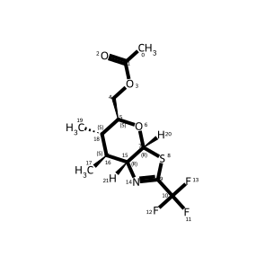 CC(=O)OC[C@H]1O[C@@H]2SC(C(F)(F)F)=N[C@@H]2[C@@H](C)[C@@H]1C